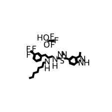 CCCCCCCNC(CNc1nnc(-c2ccc3[nH]nc(C)c3c2)s1)Cc1cccc(C(F)(F)F)c1.O=C(O)C(F)(F)F